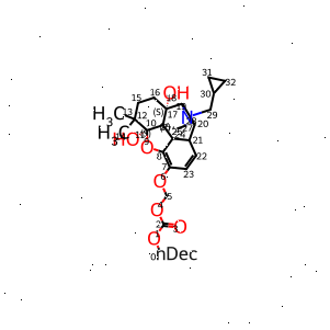 CCCCCCCCCCOC(=O)OCOC1=C2O[C@@]3(O)C(C)(C)CC[C@@]4(O)C5CC(C=C1)C2[C@]43CCN5CC1CC1